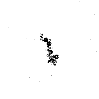 CCc1nc2c(cnn2CC)c(NC2CCOCC2)c1CNC(=O)c1cccc(C(=O)NCc2ccc(F)c(-c3cccc(CN(C)CCN(C)C)c3)c2)n1